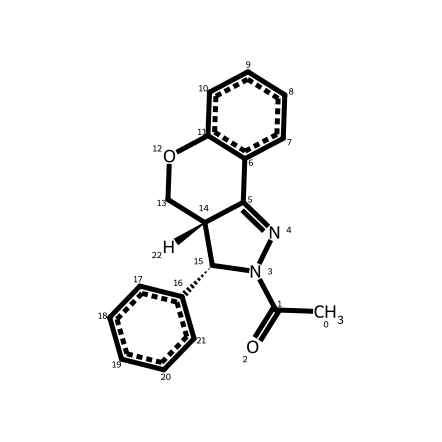 CC(=O)N1N=C2c3ccccc3OC[C@H]2[C@H]1c1ccccc1